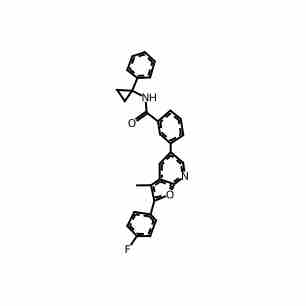 Cc1c(-c2ccc(F)cc2)oc2ncc(-c3cccc(C(=O)NC4(c5ccccc5)CC4)c3)cc12